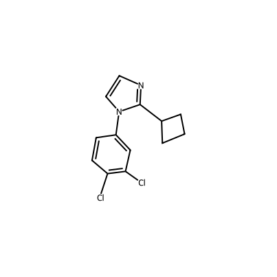 Clc1ccc(-n2ccnc2C2CCC2)cc1Cl